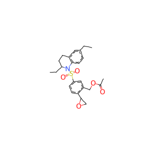 CCc1ccc2c(c1)CCC(CC)N2S(=O)(=O)c1ccc(C2CO2)c(COC(C)=O)c1